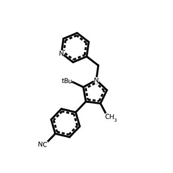 Cc1cn(Cc2cccnc2)c(C(C)(C)C)c1-c1ccc(C#N)cc1